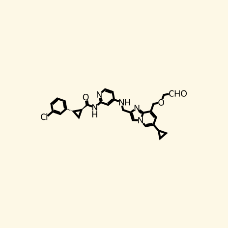 O=CCOCc1cc(C2CC2)cn2cc(CNc3ccnc(NC(=O)[C@H]4C[C@@H]4c4cccc(Cl)c4)c3)nc12